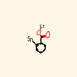 CCOC(=O)c1cccc[c]1[Sn]